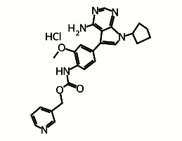 COc1cc(-c2cn(C3CCCC3)c3ncnc(N)c23)ccc1NC(=O)OCc1cccnc1.Cl